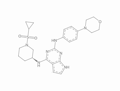 O=S(=O)(C1CC1)N1CCC[C@H](Nc2nc(Nc3ccc(N4CCOCC4)cc3)nc3[nH]c[c]c23)C1